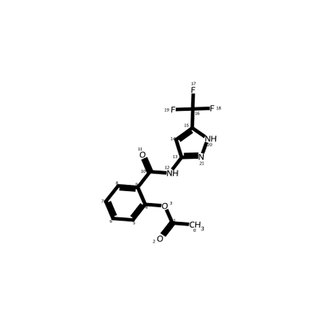 CC(=O)Oc1ccccc1C(=O)Nc1cc(C(F)(F)F)[nH]n1